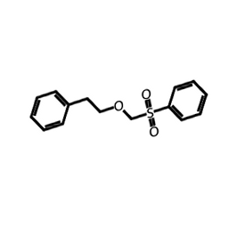 O=S(=O)(COCCc1ccccc1)c1ccccc1